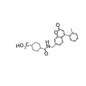 Cc1ccccc1-c1cc(=O)oc2cc(CNC(=O)C3CCC(C(=O)O)CC3)ccc12